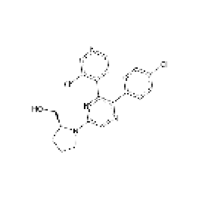 OC[C@@H]1CCCN1c1cnc(-c2ccc(Cl)cc2)c(-c2ccncc2Cl)n1